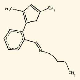 CCCCN=Cc1ccccc1C1=C(C)C=C(C)C1